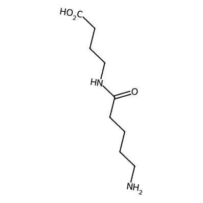 NCCCCC(=O)NCCCC(=O)O